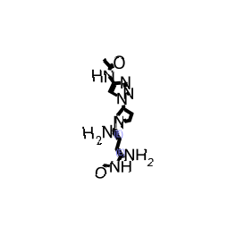 CC(=O)Nc1cn(C2CCN(/C(N)=C/C=C(\N)NC=O)C2)nn1